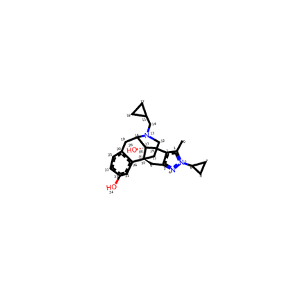 Cc1c2c(nn1C1CC1)C[C@@]13CCN(CC4CC4)C(Cc4ccc(O)cc41)[C@@]3(O)C2